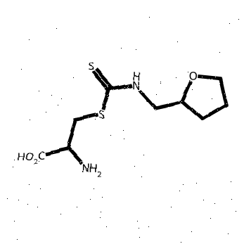 NC(CSC(=S)NCC1CCCO1)C(=O)O